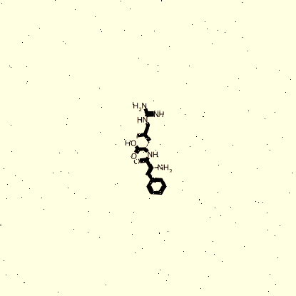 N=C(N)NCC(I)C[C@H](NC(=O)[C@H](N)Cc1ccccc1)C(=O)O